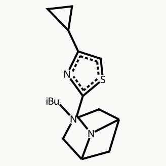 CCC(C)N1CC2CC(C1)N2Cc1nc(C2CC2)cs1